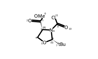 COC(=O)[C@H]1CO[C@@H](C(C)(C)C)N1C(=O)Cl